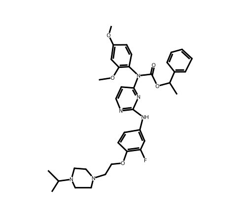 COc1ccc(N(C(=O)OC(C)c2ccccc2)c2ccnc(Nc3ccc(OCCN4CCN(C(C)C)CC4)c(F)c3)n2)c(OC)c1